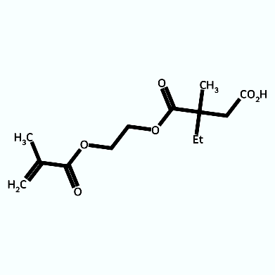 C=C(C)C(=O)OCCOC(=O)C(C)(CC)CC(=O)O